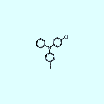 Clc1ccc(N(c2ccccc2)c2ccc(I)cc2)cc1